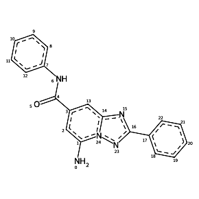 Nc1cc(C(=O)Nc2ccccc2)cc2nc(-c3ccccc3)nn12